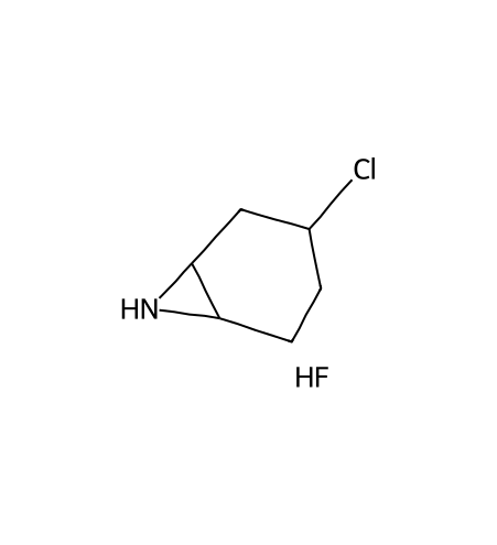 ClC1CCC2NC2C1.F